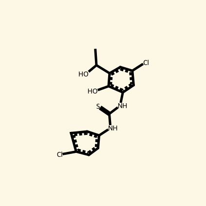 CC(O)c1cc(Cl)cc(NC(=S)Nc2ccc(Cl)cc2)c1O